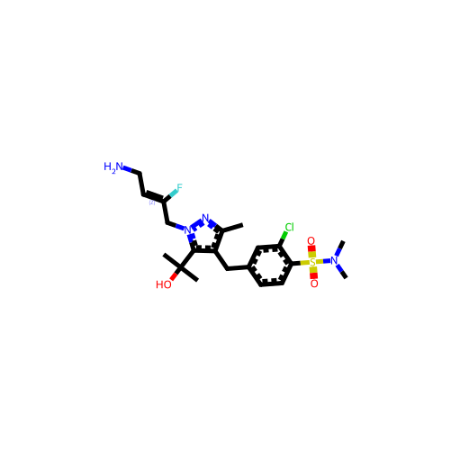 Cc1nn(C/C(F)=C/CN)c(C(C)(C)O)c1Cc1ccc(S(=O)(=O)N(C)C)c(Cl)c1